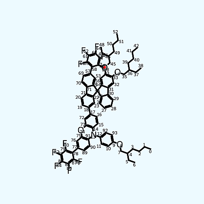 CCCCC(CC)COc1ccc(N2c3ccc(-c4ccc5c(c4)C4(c6ccccc6-c6cc(OCC(CC)CCCC)c(OCC(CC)CCCC)cc64)c4cc(-c6c(F)c(F)c(F)c(F)c6F)ccc4-5)cc3Oc3cc(-c4c(F)c(F)c(F)c(F)c4F)ccc32)cc1